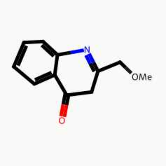 COCC1=Nc2ccccc2C(=O)C1